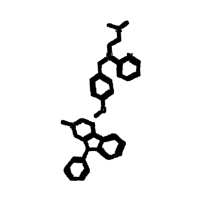 CN1CCC2=C(C1)C(c1ccccc1)c1ccccc12.COc1ccc(CN(CCN(C)C)c2ccccn2)cc1